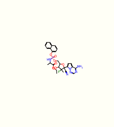 CCOC(=O)C(C)NP(=O)(OCC1OC(C#N)(c2ccc3c(N)ncnn23)C(C)(F)C1O)Oc1cccc2ccccc12